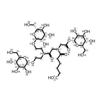 O=C(O)CCCCC(=O)N(CC(=O)O[C@H]1O[C@H](CO)[C@@H](O)[C@H](O)[C@@H]1O)CC(=O)N(CCO[C@H]1O[C@H](CO)[C@@H](O)[C@H](O)[C@@H]1O)CCO[C@H]1O[C@H](CO)[C@@H](O)[C@H](O)[C@@H]1O